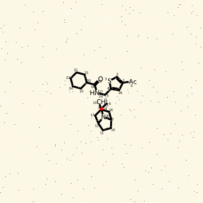 CC(=O)c1csc([C@H](CCN2C3CCC2CC(C)C3)NC(=O)C2CCCCC2)c1